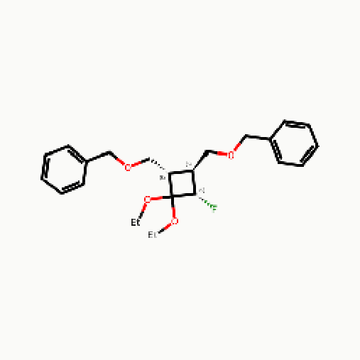 CCOC1(OCC)[C@H](COCc2ccccc2)[C@@H](COCc2ccccc2)[C@@H]1F